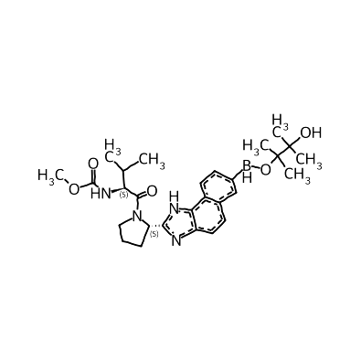 COC(=O)N[C@H](C(=O)N1CCC[C@H]1c1nc2ccc3cc(BOC(C)(C)C(C)(C)O)ccc3c2[nH]1)C(C)C